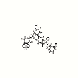 O=C(NCc1c(F)cccc1F)c1cc([C@@H]2CCNC[C@H]2COc2ccc3c(c2)OCO3)ccc1F